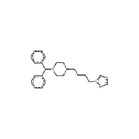 c1ccc(C(c2ccccc2)N2CCN(CCCCn3cncn3)CC2)cc1